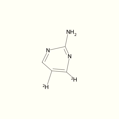 [2H]c1cnc(N)nc1[2H]